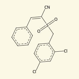 N#CC(=Cc1ccccc1)S(=O)(=O)Cc1ccc(Cl)cc1Cl